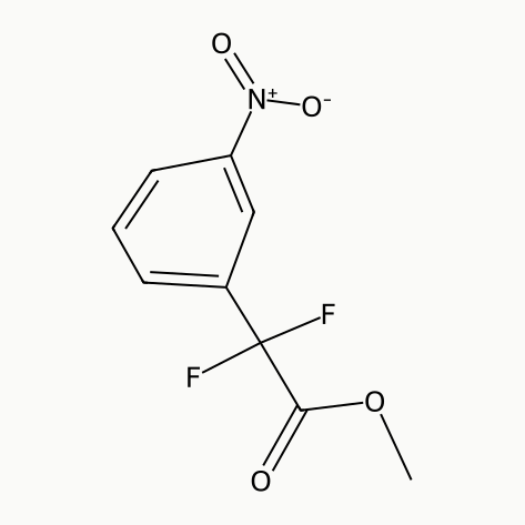 COC(=O)C(F)(F)c1cccc([N+](=O)[O-])c1